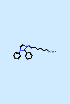 CCCCCCCCCCCCCCCCCN1C=CN(c2ccccc2)C1c1ccccc1